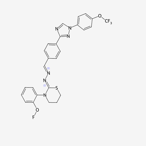 FOc1ccccc1N1CCCS/C1=N\N=C\c1ccc(-c2ncn(-c3ccc(OC(F)(F)F)cc3)n2)cc1